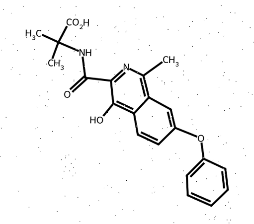 Cc1nc(C(=O)NC(C)(C)C(=O)O)c(O)c2ccc(Oc3ccccc3)cc12